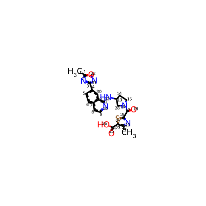 Cc1nc(-c2ccc3ccnc(NC4CCN(C(=O)c5nc(C)c(C(=O)O)s5)C4)c3c2)no1